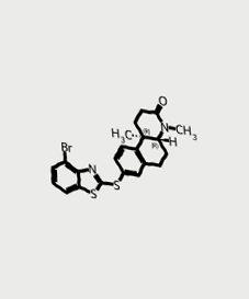 CN1C(=O)CC[C@]2(C)c3ccc(Sc4nc5c(Br)cccc5s4)cc3CC[C@@H]12